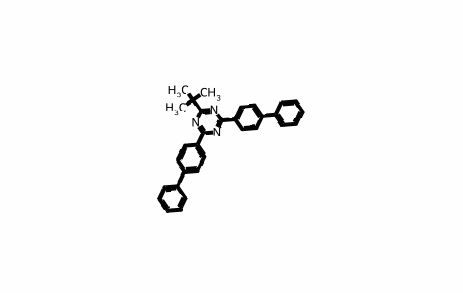 CC(C)(C)c1nc(-c2ccc(-c3ccccc3)cc2)nc(-c2ccc(-c3ccccc3)cc2)n1